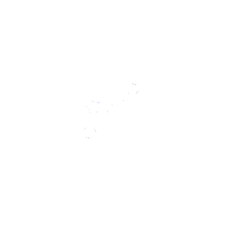 Cc1ccc(C(F)(F)CNC(=O)c2nc(C)nnc2Sc2cccc(C3CC3)c2F)c(C)c1